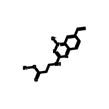 C=Cc1ccc2nc(NCCC(=O)OC(C)C)n[n+]([O-])c2c1